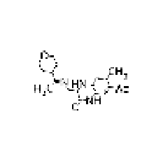 CC(=O)c1cc2c(cc1C)N/C(=C\N=C(/C)C1CCOCC1)C(=O)N2